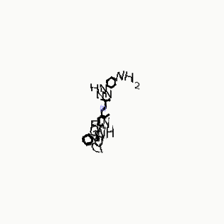 Cc1nc(NS(=O)(=O)c2ccccc2Cl)c(F)cc1/C=C/c1cnc(N[C@H]2CC[C@H](N)CC2)nc1